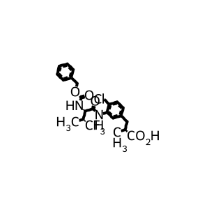 C[C@H]([C@H](NC(=O)OCc1ccccc1)C(=O)Nc1cc(C[C@H](C)C(=O)O)ccc1Cl)C(F)(F)F